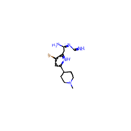 CN1CCC(c2cc(Br)c(/C(N)=N\C=N)[nH]2)CC1